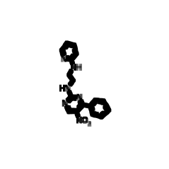 O=[N+]([O-])c1cnc(NCCNc2ccccn2)nc1-c1ccccc1